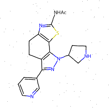 CC(=O)Nc1nc2c(s1)-c1c(c(-c3cccnc3)nn1C1CCNC1)CC2